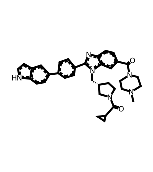 CN1CCN(C(=O)c2ccc3nc(-c4ccc(-c5ccc6[nH]ccc6c5)cc4)n(C[C@@H]4CCN(C(=O)C5CC5)C4)c3c2)CC1